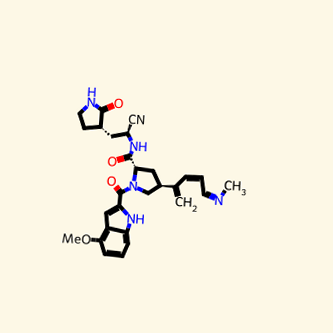 C=C(/C=C\C=N/C)[C@@H]1C[C@@H](C(=O)N[C@H](C#N)C[C@@H]2CCNC2=O)N(C(=O)c2cc3c(OC)cccc3[nH]2)C1